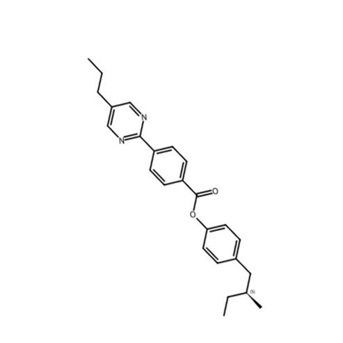 CCCc1cnc(-c2ccc(C(=O)Oc3ccc(C[C@@H](C)CC)cc3)cc2)nc1